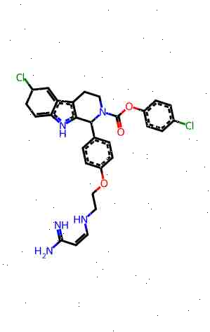 N=C(N)/C=C\NCCOc1ccc(C2c3[nH]c4c(c3CCN2C(=O)Oc2ccc(Cl)cc2)=CC(Cl)CC=4)cc1